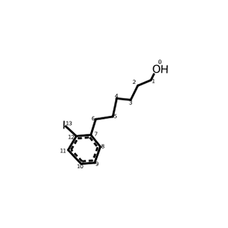 OCCCCCCc1ccccc1I